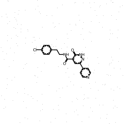 O=C(NCCc1ccc(Cl)cc1)c1cc(-c2ccncc2)n[nH]c1=O